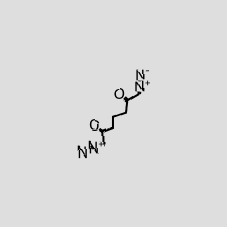 [N-]=[N+]=CC(=O)CCCC(=O)C=[N+]=[N-]